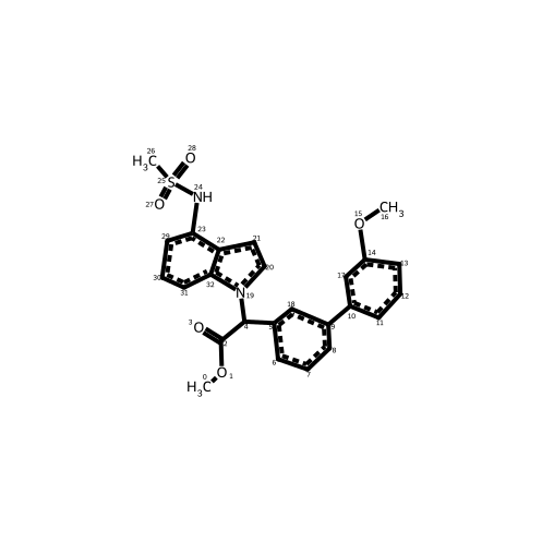 COC(=O)C(c1cccc(-c2cccc(OC)c2)c1)n1ccc2c(NS(C)(=O)=O)cccc21